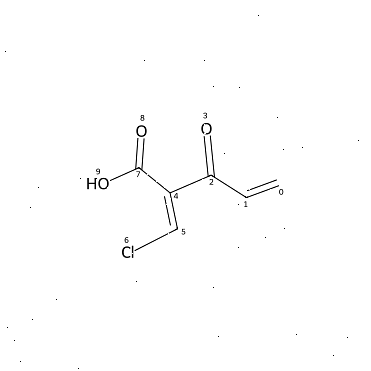 C=CC(=O)C(=CCl)C(=O)O